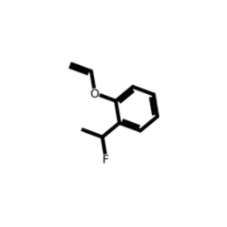 C=COc1ccccc1C(C)F